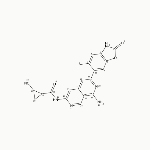 Cc1cc2[nH]c(=O)oc2cc1-c1cc2cc(NC(=O)C3CC3C#N)ncc2c(N)n1